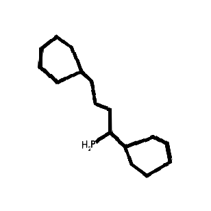 PC(CCCC1CCCCC1)C1CCCCC1